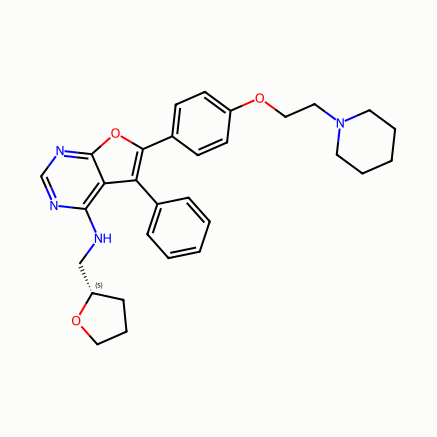 c1ccc(-c2c(-c3ccc(OCCN4CCCCC4)cc3)oc3ncnc(NC[C@@H]4CCCO4)c23)cc1